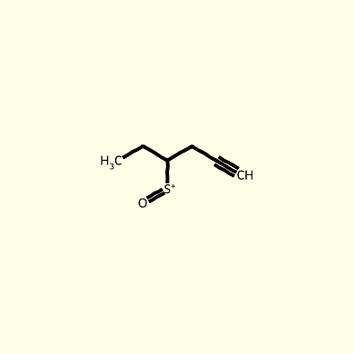 C#CCC(CC)[S+]=O